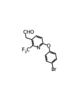 O=CCc1ccc(Oc2ccc(Br)cc2)nc1C(F)(F)F